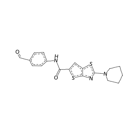 O=Cc1ccc(NC(=O)c2cc3sc(N4CCCCC4)nc3s2)cc1